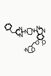 COc1cc2ncnc(N3CCN(c4ncc(Cc5ccccc5)cn4)CC3)c2cc1OCC1CN(C)CCO1